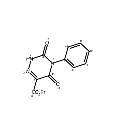 CCOC(=O)c1n[nH]c(=O)n(-c2ccccc2)c1=O